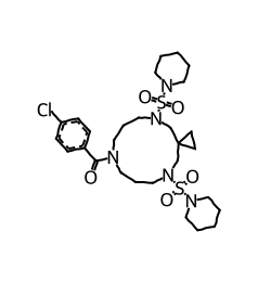 O=C(c1ccc(Cl)cc1)N1CCCN(S(=O)(=O)N2CCCCC2)CC2(CC2)CN(S(=O)(=O)N2CCCCC2)CCC1